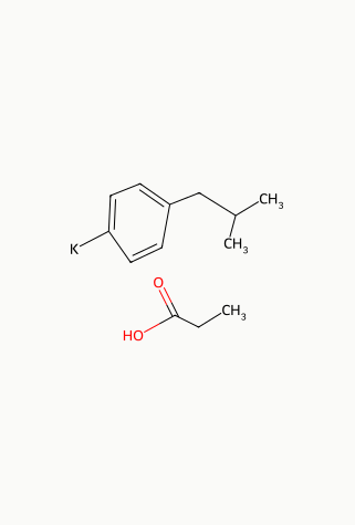 CC(C)Cc1cc[c]([K])cc1.CCC(=O)O